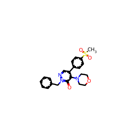 CS(=O)(=O)c1ccc(-c2cnn(Cc3ccccc3)c(=O)c2N2CCOCC2)cc1